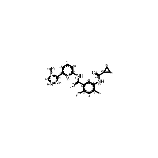 Cc1cc(F)c(C(=O)Nc2cccc(-c3nncn3C(C)C)n2)cc1NC(=O)C1CC1